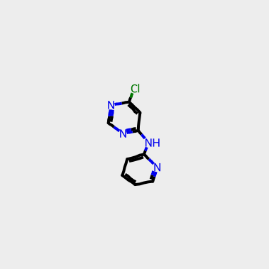 Clc1cc(Nc2ccccn2)ncn1